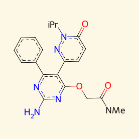 CNC(=O)COc1nc(N)nc(-c2ccccc2)c1-c1ccc(=O)n(C(C)C)n1